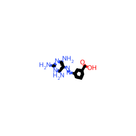 Nc1nc(N)c(/N=N/c2cccc(C(=O)O)c2)c(N)n1